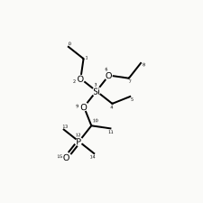 CCO[Si](CC)(OCC)OC(C)P(C)(C)=O